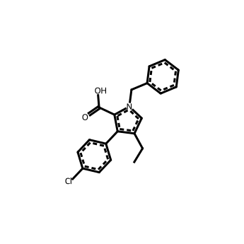 CCc1cn(Cc2ccccc2)c(C(=O)O)c1-c1ccc(Cl)cc1